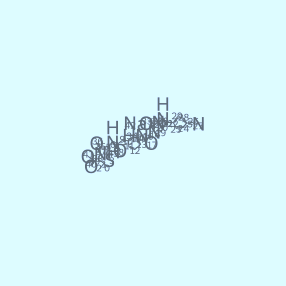 CC1(C)S[C@@H]2[C@H](NC(=O)Cc3cccc(NC(=O)N4CC5C(c6ccc(C#N)cc6)NN5C4=O)c3)C(=O)N2[C@H]1C(=O)[O-].[Na+]